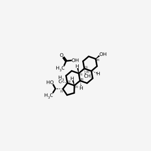 CC(=O)O.CC(O)[C@H]1CC[C@H]2[C@@H]3CC[C@@H]4C[C@H](O)CC[C@]4(C)[C@H]3CC[C@]12C